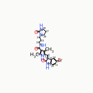 Cc1[nH]c(/C=C2\C(=O)Nc3ccc(Br)cc32)c(C)c1C(=O)NCCCN1CCCNC1=O